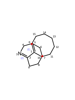 C1=C(/C2=N\CCCCCC2)CCCCCC/1